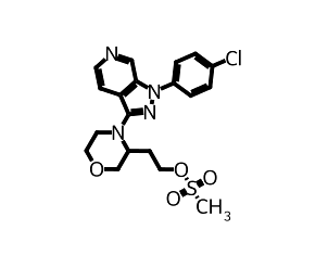 CS(=O)(=O)OCCC1COCCN1c1nn(-c2ccc(Cl)cc2)c2cnccc12